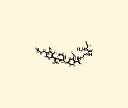 C=C(NCCNC(=C)C(N)CC)c1ccc(Nc2nccn3c(C4=C(F)C(F)C(CCC#N)C=C4)cnc23)cc1CC